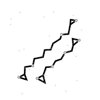 C(CCCOCC1CO1)CCOCC1CO1.C(COCC1CO1)OCC1CO1